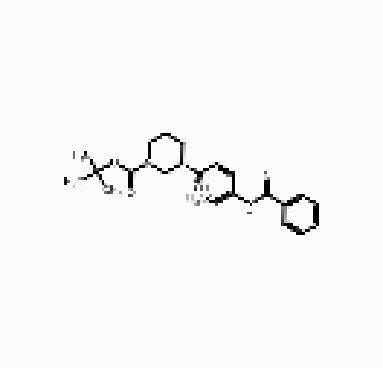 C=C(/C=C\C(=C/C)NC(=O)c1ccccc1)[C@@H]1CCCN(C(=O)OC(C)(C)C)C1